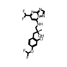 C[C@](O)(CNc1cc(C(F)F)nc2ncnn12)Cc1ccc(OC(F)F)cc1Cl